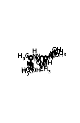 Cc1cc(Nc2nc(C)cc(Cc3cc(Nc4nccc(C)n4)cc(-c4cn(C[C@](C)(O)CO)nn4)c3)n2)cc(-c2cn(C[C@@](C)(O)CO)nn2)c1